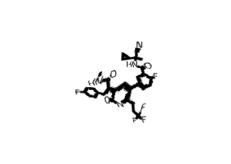 CNC(=O)c1c(-c2ccc(F)cc2)oc2nc(CCC(F)(F)F)c(-c3ccc(F)c(C(=O)NC(C)(C#N)C4CC4)c3)cc12